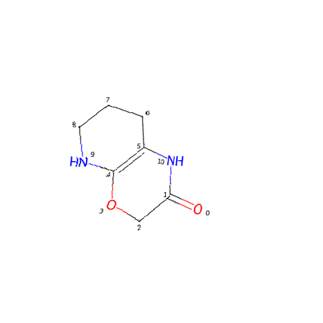 O=C1COC2=C(CCCN2)N1